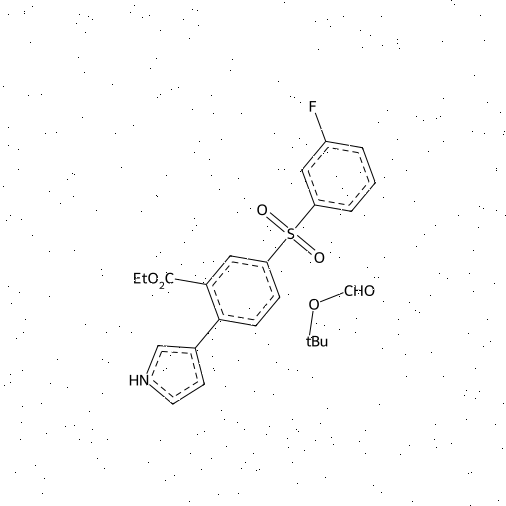 CC(C)(C)OC=O.CCOC(=O)c1cc(S(=O)(=O)c2cccc(F)c2)ccc1-c1cc[nH]c1